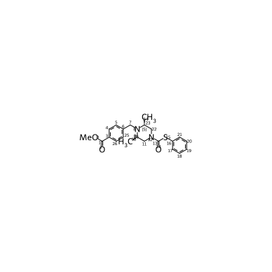 COC(=O)c1ccc(CN2[C@H](C)CN(C(=O)Sc3ccccc3)C[C@@H]2C)cc1